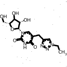 CCn1cc(Cc2cn([C@@H]3O[C@H](CO)C(O)[C@@H]3O)c(=O)[nH]c2=O)nn1